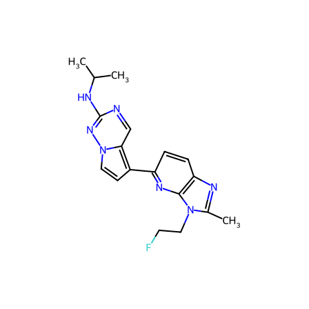 Cc1nc2ccc(-c3ccn4nc(NC(C)C)ncc34)nc2n1CCF